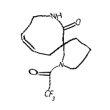 O=C(N1CCCC12CC=CCNC2=O)C(F)(F)F